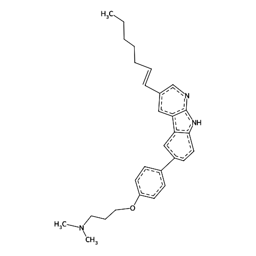 CCCCC/C=C/c1cnc2[nH]c3ccc(-c4ccc(OCCCN(C)C)cc4)cc3c2c1